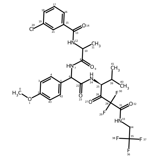 COc1ccc(C(NC(=O)C(C)NC(=O)c2cccc(Cl)c2)C(=O)N[C@H](C(=O)C(F)(F)C(=O)NCC(F)(F)F)C(C)C)cc1